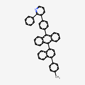 Cc1ccc(-c2ccc(-c3c4ccccc4c(-c4ccc(-c5cccnc5-c5ccccc5)cc4)c4ccccc34)c3ccccc23)cc1